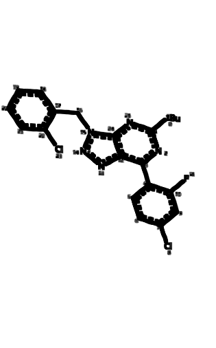 CC(C)(C)c1nc(-c2ccc(Cl)cc2F)c2nnn(Cc3ccccc3Cl)c2n1